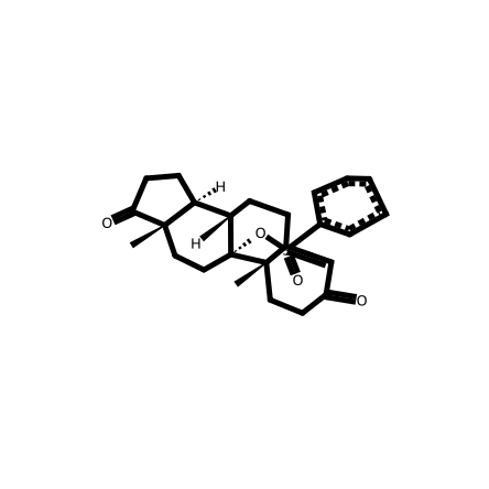 C[C@]12CCC(=O)C=C1CC[C@H]1[C@@H]3CCC(=O)[C@@]3(C)CC[C@@]12OS(=O)c1ccccc1